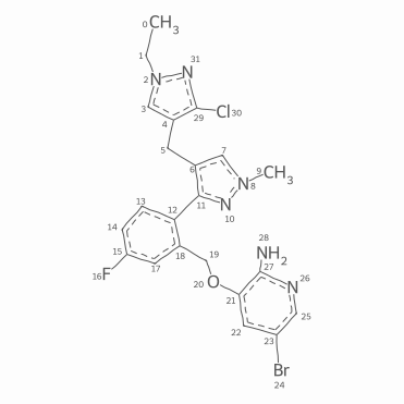 CCn1cc(Cc2cn(C)nc2-c2ccc(F)cc2COc2cc(Br)cnc2N)c(Cl)n1